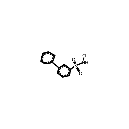 O=S(=O)(NCl)c1cccc(-c2ccccc2)c1